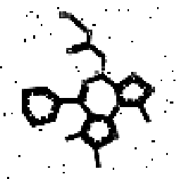 Cc1sc2c(c1C)C(c1ccccc1)=N[C@H](CC(=O)OC(C)(C)C)c1nnc(C)n1-2